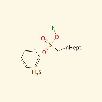 CCCCCCCCS(=O)(=O)OF.S.c1ccccc1